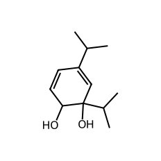 CC(C)C1=CC(O)(C(C)C)C(O)C=C1